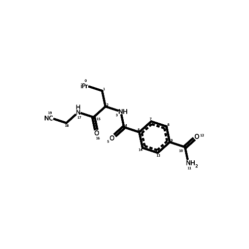 CC(C)CC(NC(=O)c1ccc(C(N)=O)cc1)C(=O)NCC#N